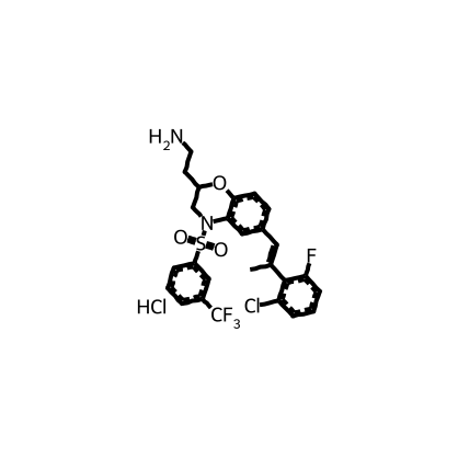 CC(=Cc1ccc2c(c1)N(S(=O)(=O)c1cccc(C(F)(F)F)c1)CC(CCN)O2)c1c(F)cccc1Cl.Cl